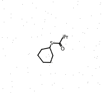 CC(C)C(=O)SC1C[CH]CCC1